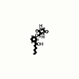 CCCCCC(O)c1cccc(OCC2NC(=O)CNC2=O)c1